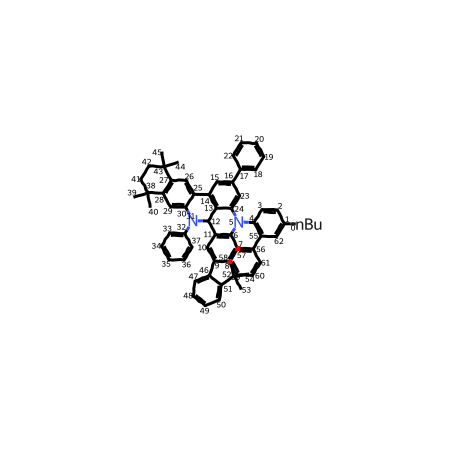 CCCCc1ccc(N2c3cc4c(cc3C3c5c(cc(-c6ccccc6)cc52)-c2cc5c(cc2N3c2ccccc2)C(C)(C)CCC5(C)C)-c2ccccc2C4(C)C)c(-c2ccccc2)c1